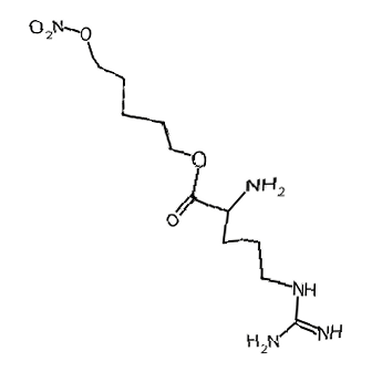 N=C(N)NCCCC(N)C(=O)OCCCCCO[N+](=O)[O-]